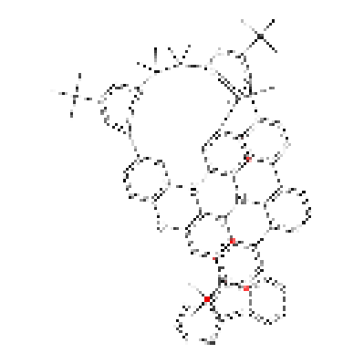 CC(C)(C)c1ccc(-c2cccc(-c3ccc(C(C)(C)C)cc3)c2N2c3ccc4cc3B3c5cc(ccc5Oc5cc(-n6c7ccccc7c7ccccc76)cc2c53)-c2cc(C(C)(C)C)cc(c2)C(C)(C)C(C)(C)c2cc-4cc(C(C)(C)C)c2)cc1